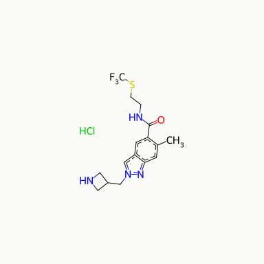 Cc1cc2nn(CC3CNC3)cc2cc1C(=O)NCCSC(F)(F)F.Cl